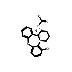 N#Cc1cccc2c1N1CCC[C@@H](NC(=O)C(F)(F)F)[C@@H]1c1ccccc1O2